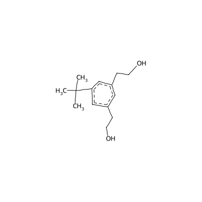 CC(C)(C)c1cc(CCO)cc(CCO)c1